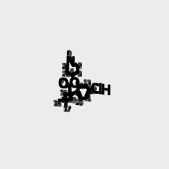 CN1CCC(OC(=O)C2(c3ccccc3)CC(C)(C)C2)CC1.Cl